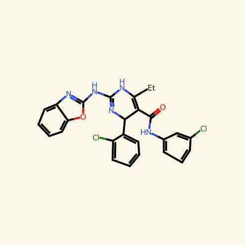 CCC1=C(C(=O)Nc2cccc(Cl)c2)C(c2ccccc2Cl)N=C(Nc2nc3ccccc3o2)N1